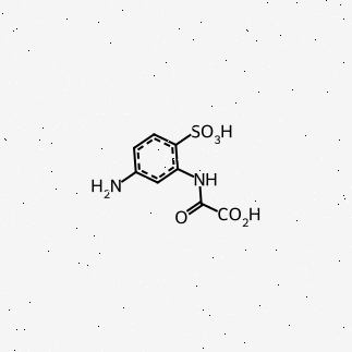 Nc1ccc(S(=O)(=O)O)c(NC(=O)C(=O)O)c1